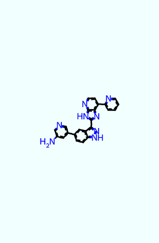 Nc1cncc(-c2ccc3[nH]nc(-c4nc5c(-c6ccccn6)ccnc5[nH]4)c3c2)c1